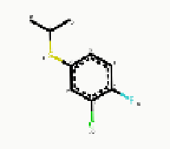 CC(C)Sc1ccc(F)c(Cl)c1